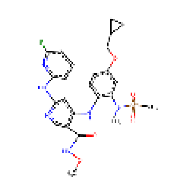 CONC(=O)c1cnc(Nc2cccc(F)n2)cc1Nc1ccc(OCC2CC2)cc1N(C)S(C)(=O)=O